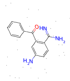 N=C(N)c1ccc(N)cc1C(=O)c1ccccc1